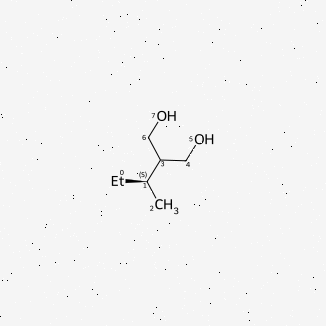 CC[C@H](C)C(CO)CO